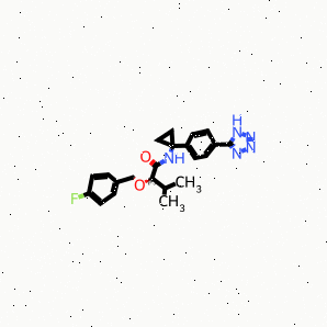 CC(C)[C@@H](OCc1ccc(F)cc1)C(=O)NC1(c2ccc(-c3nnn[nH]3)cc2)CC1